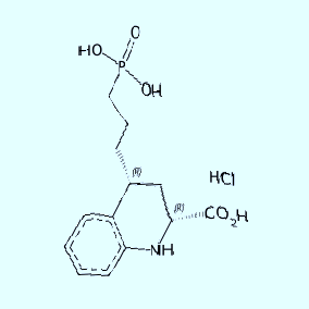 Cl.O=C(O)[C@H]1C[C@@H](CCCP(=O)(O)O)c2ccccc2N1